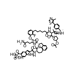 CC(=O)O[C@@H]1C[C@@H](C(=O)N[C@@H](C)c2ccc(-c3scnc3C)cc2)N(C(=O)[C@@H](NC(=O)CCCCCc2cccc(OC[C@H](CCC(N)=O)NC(=O)[C@@H]3Cc4cccc5c4N3C(=O)[C@@H](NC(=O)c3cc4cc(C(=O)P(=O)(O)O)ccc4[nH]3)CC5)c2F)C(C)(C)C)C1